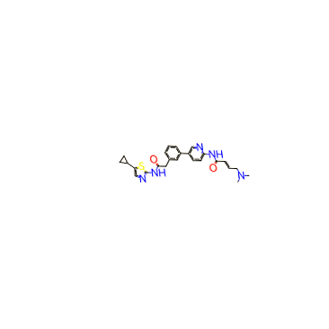 CN(C)C/C=C/C(=O)Nc1ccc(-c2cccc(CC(=O)Nc3ncc(C4CC4)s3)c2)cn1